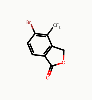 O=C1OCc2c1ccc(Br)c2C(F)(F)F